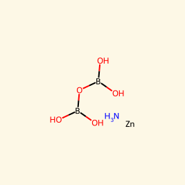 N.OB(O)OB(O)O.[Zn]